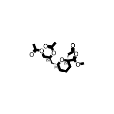 COC(=O)[C@@]1(CC=O)CCC[C@H](C[C@@H](COC(C)=O)OC(C)=O)O1